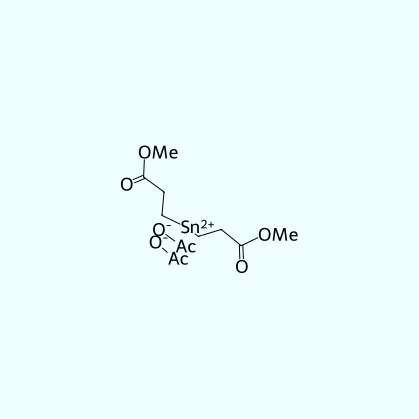 CC(=O)[O-].CC(=O)[O-].COC(=O)C[CH2][Sn+2][CH2]CC(=O)OC